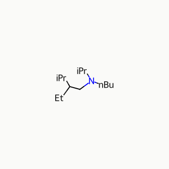 CCCCN(CC(CC)C(C)C)C(C)C